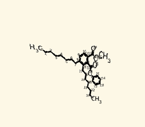 CCCCCCCCc1ccc(C(=O)OC)c(C(=O)Oc2ccccc2)c1CCCCCCCC